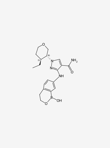 CC[C@H]1CCOC[C@@H]1n1cc(C(N)=O)c(Nc2ccc3c(c2)B(O)OCC3)n1